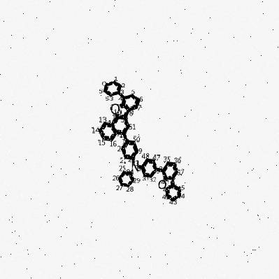 c1ccc(-c2cccc3c2oc2c4ccccc4c(-c4ccc(N(c5ccccc5)c5ccc(-c6cccc7c6oc6ccccc67)cc5)cc4)cc32)cc1